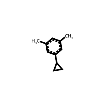 Cc1[c]c(C)cc(C2CC2)c1